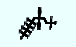 N#CC(C#N)(CCC(F)(F)F)CC(F)(F)C(F)(F)C(F)(F)C(F)(F)F